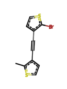 Cc1sccc1C#Cc1ccsc1Br